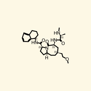 CN[C@@H](C)C(=O)N[C@H]1C[C@@H](CCOC)CC[C@H]2CC[C@@H](C(=O)N[C@@H]3CCCc4ccccc43)N2C1=O